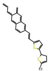 C=C/C=c1/cc2ccc(/C=C/c3ccc(C4CC=C(CC)S4)s3)cc2cc1=C